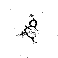 COC(=O)C[C@](O)(CC(C)(C)c1cc(Br)ccc1OC)C(F)(F)F